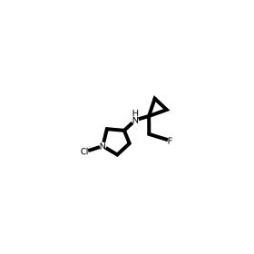 FCC1(NC2CCN(Cl)C2)CC1